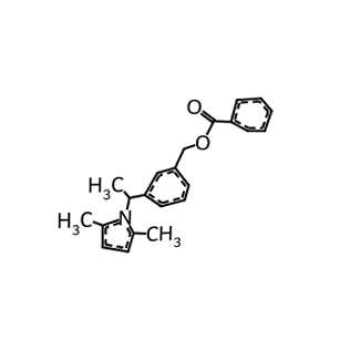 Cc1ccc(C)n1C(C)c1cccc(COC(=O)c2ccccc2)c1